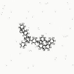 c1ccc(-c2nc(-c3ccc(-n4c5ccc6sc7ccc8c9ccccc9n9c%10cccc4c%10c5c6c7c89)cc3)nc(-c3ccc4c(c3)oc3ccccc34)n2)cc1